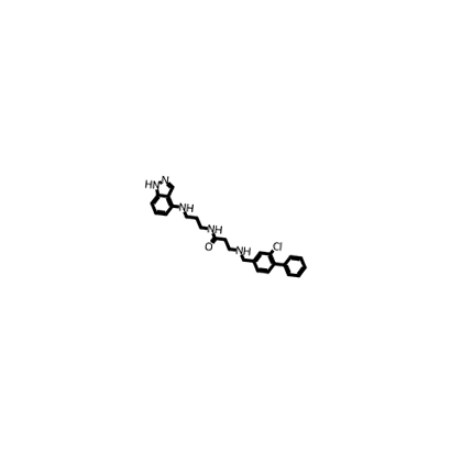 O=C(CCNCc1ccc(-c2ccccc2)c(Cl)c1)NCCCNc1cccc2[nH]ncc12